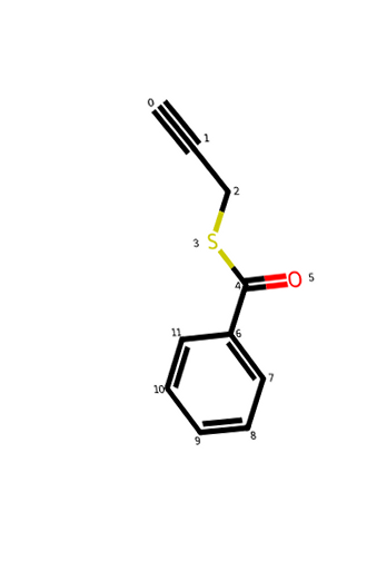 C#CCSC(=O)c1ccccc1